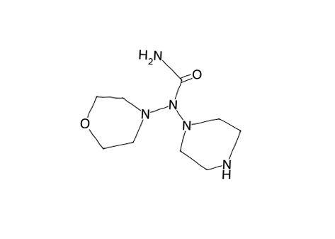 NC(=O)N(N1CCNCC1)N1CCOCC1